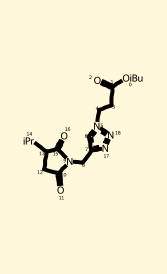 CC(C)COC(=O)CCn1cc(CN2C(=O)CC(C(C)C)C2=O)nn1